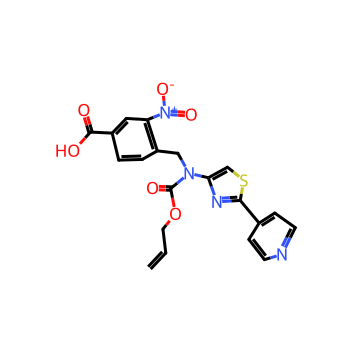 C=CCOC(=O)N(Cc1ccc(C(=O)O)cc1[N+](=O)[O-])c1csc(-c2ccncc2)n1